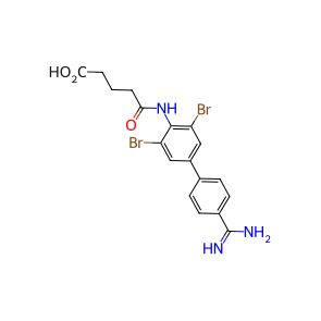 N=C(N)c1ccc(-c2cc(Br)c(NC(=O)CCCC(=O)O)c(Br)c2)cc1